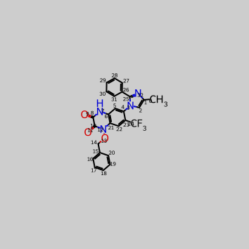 Cc1cn(-c2cc3[nH]c(=O)c(=O)n(OCc4ccccc4)c3cc2C(F)(F)F)c(-c2ccccc2)n1